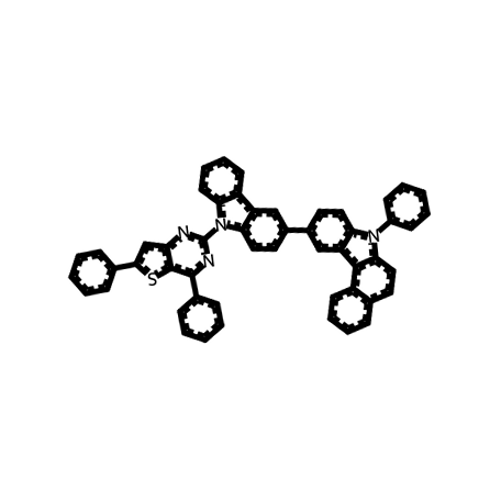 c1ccc(-c2cc3nc(-n4c5ccccc5c5cc(-c6ccc7c(c6)c6c8ccccc8ccc6n7-c6ccccc6)ccc54)nc(-c4ccccc4)c3s2)cc1